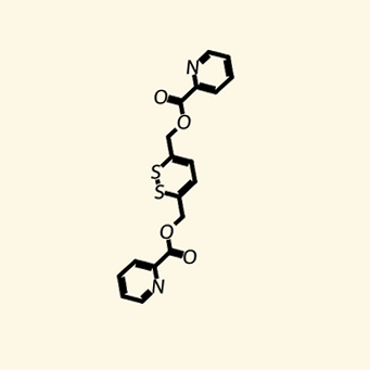 O=C(OCC1=CC=C(COC(=O)c2ccccn2)SS1)c1ccccn1